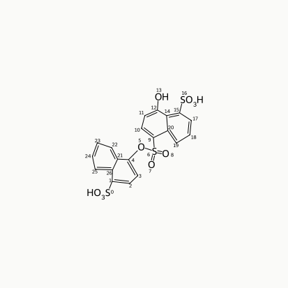 O=S(=O)(O)c1ccc(OS(=O)(=O)c2ccc(O)c3c(S(=O)(=O)O)cccc23)c2ccccc12